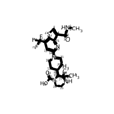 CNC(=O)c1csc2c(C(F)(F)F)cc(N3CCC(C4N(C(=O)O)CCNC4(C)C)CC3)nc12